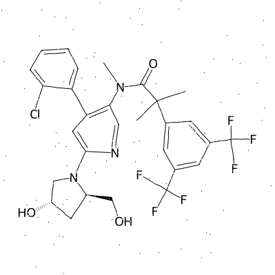 CN(C(=O)C(C)(C)c1cc(C(F)(F)F)cc(C(F)(F)F)c1)c1cnc(N2C[C@@H](O)C[C@@H]2CO)cc1-c1ccccc1Cl